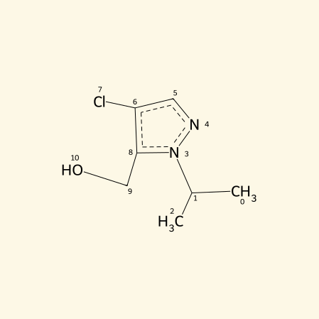 CC(C)n1ncc(Cl)c1CO